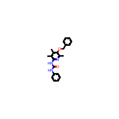 Cc1nc(NC(=O)Nc2ccccc2)c(C)c(C)c1OCc1ccccc1